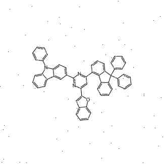 c1ccc(-n2c3ccccc3c3cc(-c4nc(-c5cc6ccccc6o5)cc(-c5cccc6c5-c5ccccc5C6(c5ccccc5)c5ccccc5)n4)ccc32)cc1